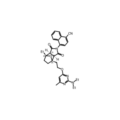 CCN(CC)c1nc(C)cc(OCC[C@@]23CC[C@@](CC)(O2)[C@H]2C(=O)N(c4ccc(C#N)c5ccccc45)C(=O)[C@H]23)n1